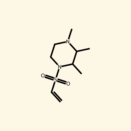 C=CS(=O)(=O)N1CCN(C)C(C)C1C